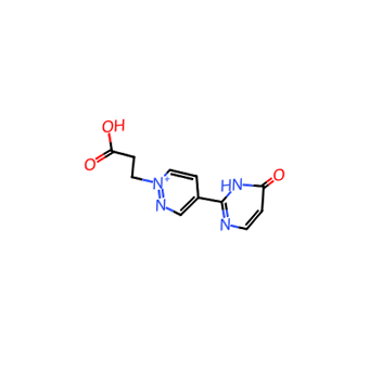 O=C(O)CC[n+]1ccc(-c2nccc(=O)[nH]2)cn1